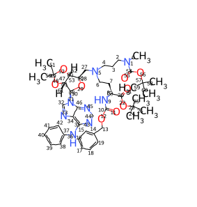 CN(CCCN(CC[C@H](NC(=O)OCc1ccccc1)C(=O)OC(C)(C)C)C[C@H]1O[C@@H](n2cnc3c(Nc4ccccc4)ncnc32)[C@@H]2OC(C)(C)O[C@@H]21)C(=O)OC(C)(C)C